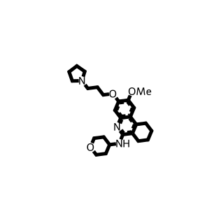 COc1cc2c3c(c(NC4CCOCC4)nc2cc1OCCCN1CCCC1)CCCC3